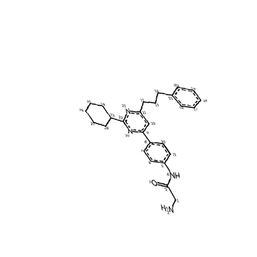 NCC(=O)Nc1ccc(-c2cc(CCCc3ccccc3)nc(C3CCCCC3)n2)cc1